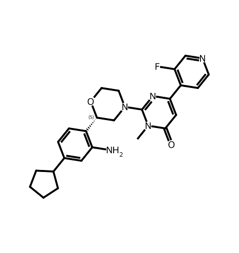 Cn1c(N2CCO[C@@H](c3ccc(C4CCCC4)cc3N)C2)nc(-c2ccncc2F)cc1=O